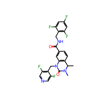 CC1c2ccc(C(=O)NCc3c(F)cc(F)cc3F)cc2N(Cc2c(F)cncc2F)C(=O)N1C